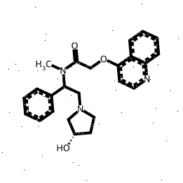 CN(C(=O)COc1ccnc2ccccc12)C(CN1CC[C@H](O)C1)c1ccccc1